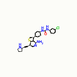 Nc1ncc(C#CC2CCCN2)c2scc(-c3ccc(NC(=O)Nc4cccc(Cl)c4)cc3)c12